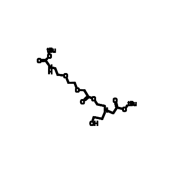 CC(C)(C)OC(=O)CN(CCO)CCOC(=O)COCCOCCNC(=O)OC(C)(C)C